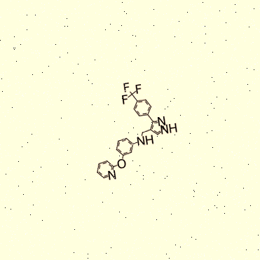 FC(F)(F)c1ccc(-c2n[nH]cc2CNc2cccc(Oc3ccccn3)c2)cc1